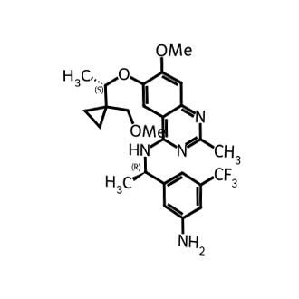 COCC1([C@H](C)Oc2cc3c(N[C@H](C)c4cc(N)cc(C(F)(F)F)c4)nc(C)nc3cc2OC)CC1